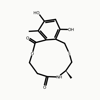 Cc1c(O)cc(O)c2c1C(=O)OCCC(=O)N[C@H](C)CSC2